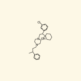 CC(CCN1CCN(CC(c2cccc(Cl)c2)C2(O)CCCCC2)CC1)c1ccccc1